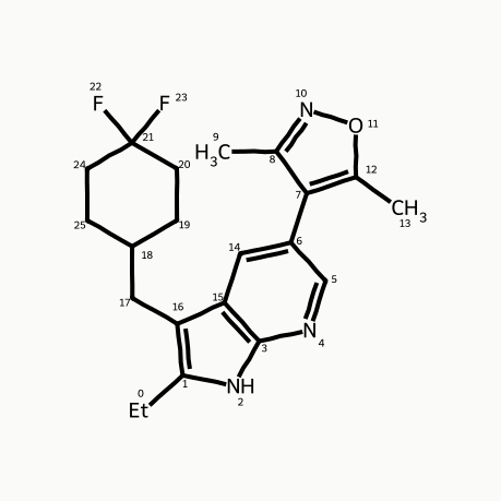 CCc1[nH]c2ncc(-c3c(C)noc3C)cc2c1CC1CCC(F)(F)CC1